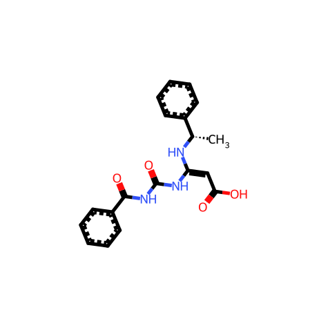 C[C@H](NC(=CC(=O)O)NC(=O)NC(=O)c1ccccc1)c1ccccc1